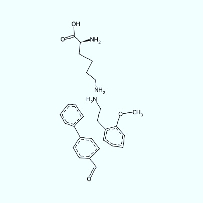 COc1ccccc1CCN.NCCCC[C@H](N)C(=O)O.O=Cc1ccc(-c2ccccc2)cc1